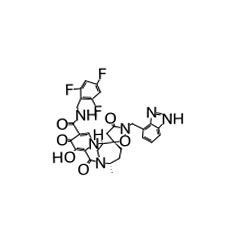 C[C@H]1CC[C@]2(CC(=O)N(Cc3cccc4[nH]cnc34)O2)[C@H]2CN1C(=O)c1c(O)c(=O)c(C(=O)NCc3c(F)cc(F)cc3F)cn12